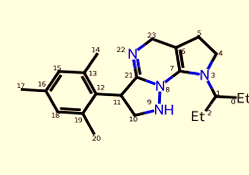 CCC(CC)N1CCC2=C1N1NCC(c3c(C)cc(C)cc3C)C1=NC2